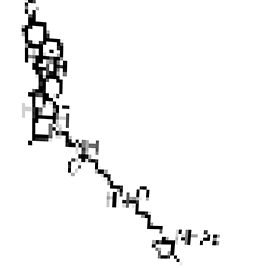 CC(=O)N[C@@H]1[C@H](CCCCC(=O)NCCCCCC(=O)NCCN2C[C@@H](C)C[C@H]3O[C@]4(CC[C@@H]5C(=C4C)C[C@H]4[C@H]5CCC5=CC(=O)CC[C@@]54C)[C@H](C)[C@@H]32)SC[C@@H]1C